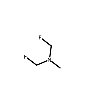 CN(CF)CF